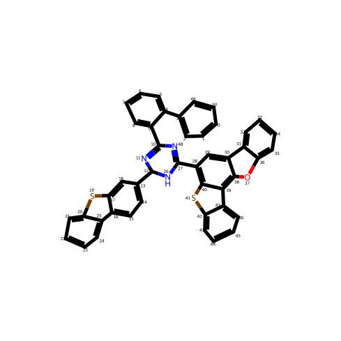 c1ccc(-c2ccccc2C2=NC(c3ccc4c(c3)sc3ccccc34)NC(c3cc4c5ccccc5oc4c4c3sc3ccccc34)=N2)cc1